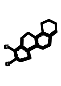 Clc1ccc2c(c1Cl)=CCc1c3c(ccc1=2)=CCCC3